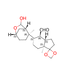 C[C@]1([C@H]2CC[C@@]3(C)[C@@H](CCC34OCO4)[C@@H]2C=O)CC[C@H]2C[C@@H]1C(O)O2